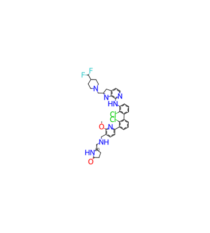 COc1nc(-c2cccc(-c3cccc(Nc4nccc5c4N=C(CN4CCC(C(F)F)CC4)C5)c3Cl)c2Cl)ccc1CNC[C@H]1CCC(=O)N1